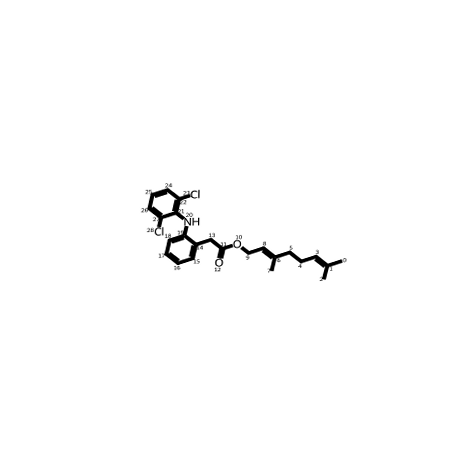 CC(C)=CCC/C(C)=C/COC(=O)Cc1ccccc1Nc1c(Cl)cccc1Cl